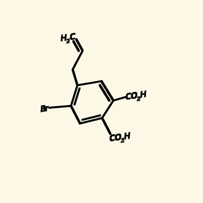 C=CCc1cc(C(=O)O)c(C(=O)O)cc1Br